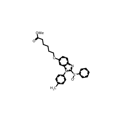 COC(=O)CCCCCOc1ccc2nc([S+]([O-])c3ccccc3)n(-c3ccc(C)cc3)c2c1